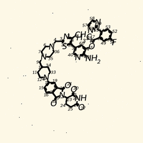 Cc1nc(CN2CCN(CC3CCN(c4ccc5c(c4)C(=O)N(C4CCC(=O)NC4=O)C5=O)CC3)CC2)sc1-c1cnc(N)c(O[C@H](C)c2cc(F)ccc2-n2nccn2)c1